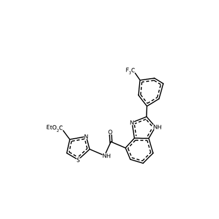 CCOC(=O)c1csc(NC(=O)c2cccc3[nH]c(-c4cccc(C(F)(F)F)c4)nc23)n1